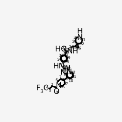 O=C(CCC(F)(F)F)N1CC=C(c2cccn3nc(Nc4ccc(C(O)NCC5CC56CCNCC6)cc4)nc23)CC1